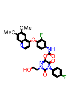 COc1cc2nccc(Oc3ccc(NC(=O)Oc4nn(CCO)c(=O)n(-c5ccc(F)cc5)c4=O)cc3F)c2cc1OC